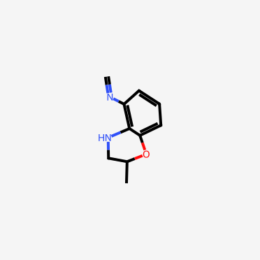 C=Nc1cccc2c1NCC(C)O2